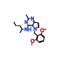 CCCC(C)Nc1nc(C)nc2ccn(Cc3c(OC)cccc3OC)c12